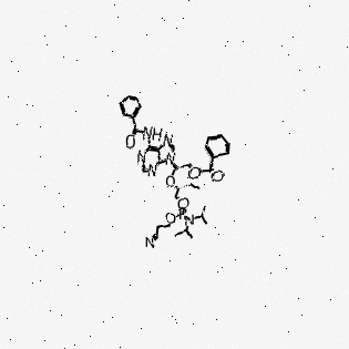 CC[C@H](COP(OCCC#N)N(C(C)C)C(C)C)O[C@H](COC(=O)c1ccccc1)n1cnc2c(NC(=O)c3ccccc3)ncnc21